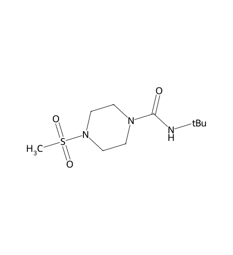 CC(C)(C)NC(=O)N1CCN(S(C)(=O)=O)CC1